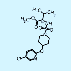 COC(=O)[C@H](NS(=O)(=O)N1CCC(Oc2ccc(Cl)cn2)CC1)C(C)C